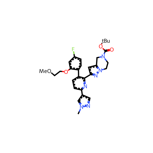 COCCOc1cc(F)ccc1-c1ccc(-c2cnn(C)c2)nc1-c1cc2n(n1)CCN(C(=O)OC(C)(C)C)C2